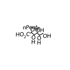 CCCCCC.O=C(O)C(O)C(O)C(O)C(O)CO